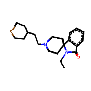 CCN1C(=O)c2ccccc2C12CCN(CCC1CCSCC1)CC2